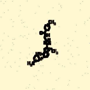 CN1CCC(C(=O)NCc2nnc(-c3cc4c(N[C@H]5CCN(C)C[C@H]5F)cccc4n3CC(F)(F)F)s2)CC1